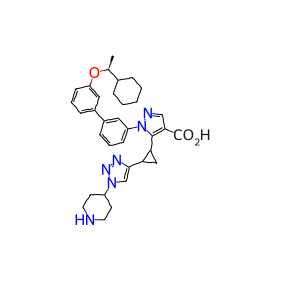 C[C@H](Oc1cccc(-c2cccc(-n3ncc(C(=O)O)c3C3CC3c3cn(C4CCNCC4)nn3)c2)c1)C1CCCCC1